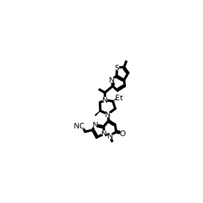 CC[C@@H]1CN(c2cc(=O)n(C)n3cc(CC#N)nc23)[C@@H](C)CN1C(C)c1ccc2cc(C)sc2n1